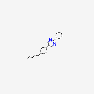 CCCCCC1CCC(c2cnc(C3CCCCC3)nc2)CC1